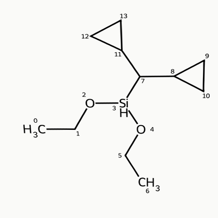 CCO[SiH](OCC)C(C1CC1)C1CC1